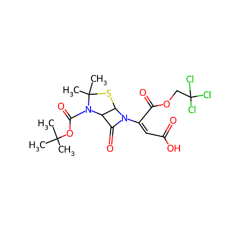 CC(C)(C)OC(=O)N1C2C(=O)N(C(=CC(=O)O)C(=O)OCC(Cl)(Cl)Cl)C2SC1(C)C